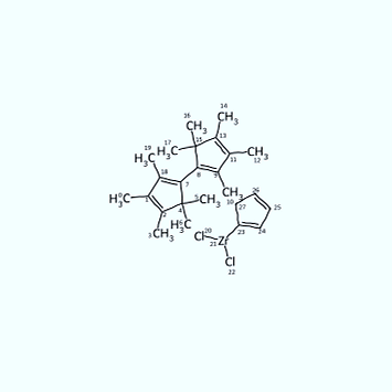 CC1=C(C)C(C)(C)C(C2=C(C)C(C)=C(C)C2(C)C)=C1C.[Cl][Zr]([Cl])[C]1=CC=CC1